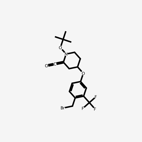 CC(C)(C)ON1CCC(Oc2ccc(CBr)c(C(F)(F)F)c2)CC1=C=O